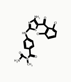 CN(C(N)=O)C(=O)c1ccc(Nc2nc(N)c(C(=O)c3c(Cl)cccc3Cl)s2)cc1